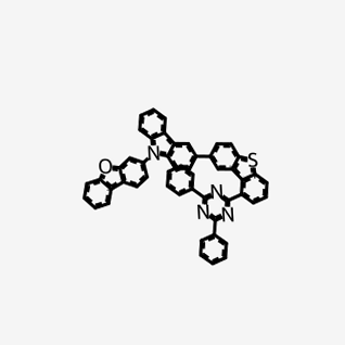 c1ccc(-c2nc(-c3ccccc3)nc(-c3cccc4sc5ccc(-c6ccc7c(c6)c6ccccc6n7-c6ccc7c(c6)oc6ccccc67)cc5c34)n2)cc1